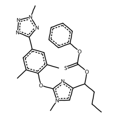 CCCC(OC(=S)Oc1ccccc1)c1cn(C)c(Oc2c(C)cc(-c3nnn(C)n3)cc2C)n1